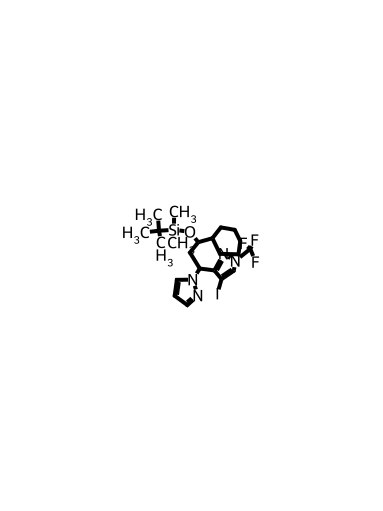 CC(C)(C)[Si](C)(C)OC(CC(c1nn(C(F)(F)F)cc1I)n1cccn1)C1CCCCC1